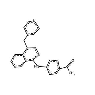 CC(=O)c1ccc(Nc2ncc(Cc3ccncc3)c3ccccc23)cc1